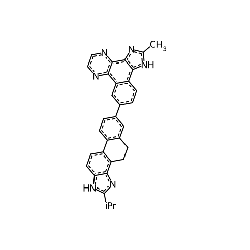 Cc1nc2c3nccnc3c3cc(-c4ccc5c(c4)CCc4c-5ccc5[nH]c(C(C)C)nc45)ccc3c2[nH]1